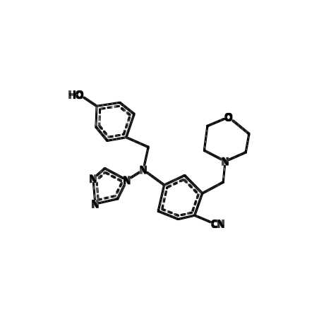 N#Cc1ccc(N(Cc2ccc(O)cc2)n2cnnc2)cc1CN1CCOCC1